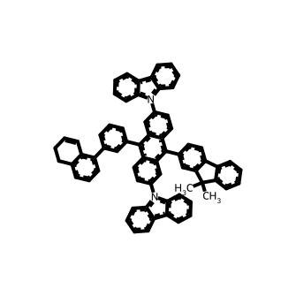 CC1(C)c2ccccc2-c2ccc(-c3c4ccc(-n5c6ccccc6c6ccccc65)cc4c(-c4cccc(-c5cccc6c5C=CCC6)c4)c4ccc(-n5c6ccccc6c6ccccc65)cc34)cc21